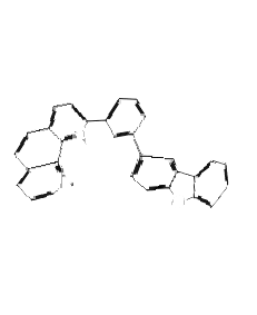 c1cc(-c2ccc3oc4ccccc4c3c2)cc(-c2ccc3ccc4cccnc4c3n2)c1